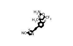 C[C@]1(c2cc(C#Cc3ncc(C#N)s3)ccc2F)C[C@@H](C(F)(F)F)OC(N)=N1